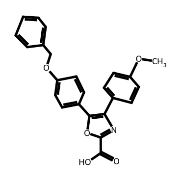 COc1ccc(-c2nc(C(=O)O)oc2-c2ccc(OCc3ccccc3)cc2)cc1